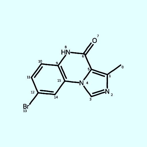 Cc1ncn2c1c(=O)[nH]c1ccc(Br)cc12